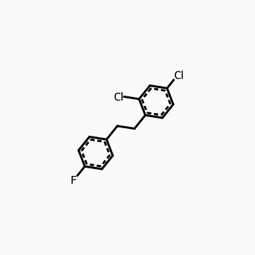 Fc1ccc(CCc2ccc(Cl)cc2Cl)cc1